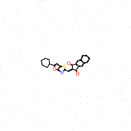 O=C1C(=Cc2nc3oc(C4CCCCC4)cc3s2)C(=O)c2cc3ccccc3cc21